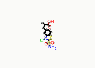 CC(Cc1ccc2c(c1)N(Cl)C(S(N)(=O)=O)S2)C(=O)O